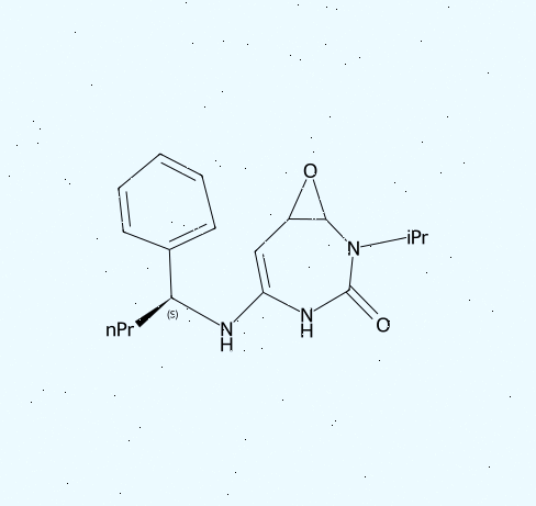 CCC[C@H](NC1=CC2OC2N(C(C)C)C(=O)N1)c1ccccc1